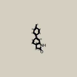 Cc1ccc(-c2ccc3c(c2)NC(=O)C3)cc1